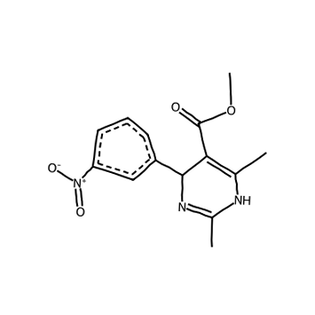 COC(=O)C1=C(C)NC(C)=NC1c1cccc([N+](=O)[O-])c1